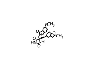 COc1ccc2c(c1)C(=O)N(C[C@@]1(C#Cc3ccc4oc(C)cc4c3)NC(=O)NC1=O)C2